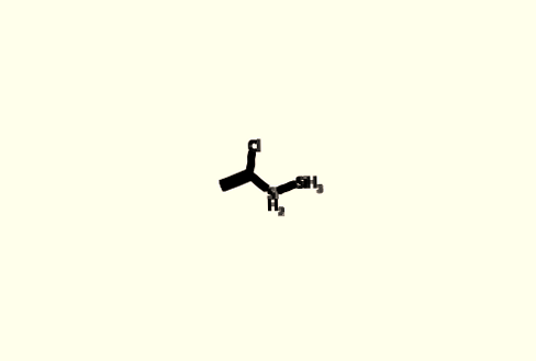 C=C(Cl)[SiH2][SiH3]